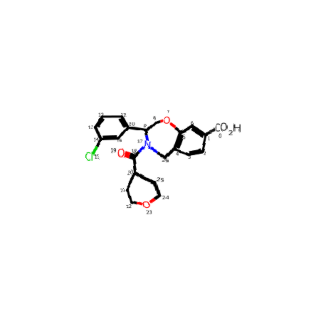 O=C(O)c1ccc2c(c1)OCC(c1cccc(Cl)c1)N(C(=O)C1CCOCC1)C2